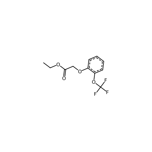 CCOC(=O)COc1ccccc1OC(F)(F)F